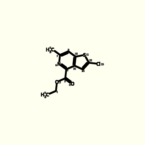 CCOC(=O)c1nc(C)cc2sc(Cl)cc12